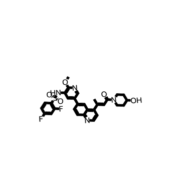 COc1ncc(-c2ccc3nccc(/C(C)=C/C(=O)N4CCC(O)CC4)c3c2)cc1NS(=O)(=O)c1ccc(F)cc1F